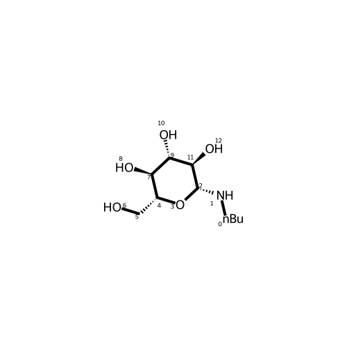 CCCCN[C@@H]1O[C@H](CO)[C@@H](O)[C@H](O)[C@H]1O